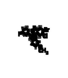 COc1ccc(CN(c2cccc(F)n2)S(=O)(=O)c2cc(Cl)c(Br)cc2F)cc1